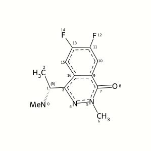 CN[C@H](C)c1nn(C)c(=O)c2cc(F)c(F)cc12